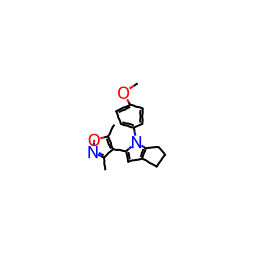 COc1ccc(-n2c(-c3c(C)noc3C)cc3c2CCC3)cc1